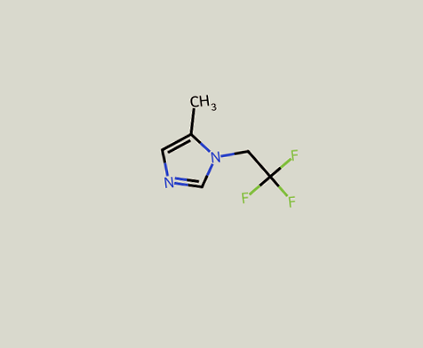 Cc1cncn1CC(F)(F)F